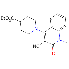 CCOC(=O)C1CCN(c2c(C#N)c(=O)n(C)c3ccccc23)CC1